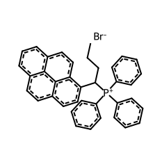 CCCC(c1ccc2ccc3cccc4ccc1c2c34)[P+](c1ccccc1)(c1ccccc1)c1ccccc1.[Br-]